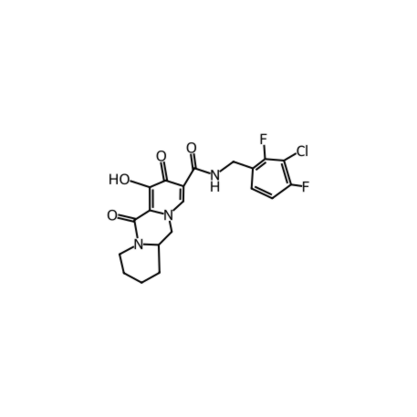 O=C(NCc1ccc(F)c(Cl)c1F)c1cn2c(c(O)c1=O)C(=O)N1CCCCC1C2